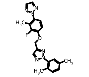 Cc1ccc(C)c(-n2ncc(COc3ccc(-n4nccn4)c(C)c3F)n2)c1